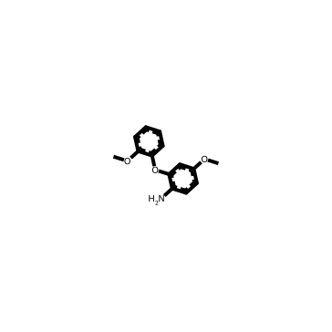 COc1ccc(N)c(Oc2ccccc2OC)c1